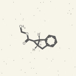 CCOC(=O)C1[C@H]2Cc3ccccc3[C@@H]12